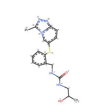 CC(O)CNC(=O)NCc1ccccc1Sc1ccc2nnc(C(C)C)n2c1